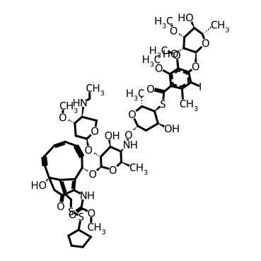 CCN[C@H]1CO[C@@H](O[C@H]2[C@H](O[C@H]3C#CC=CC#C[C@]4(O)CC(=O)C(NC(=O)OC)=C3/C4=C\CSSC3CCCC3)O[C@H](C)[C@@H](NO[C@H]3C[C@H](O)[C@H](SC(=O)c4c(C)c(I)c(O[C@@H]5O[C@@H](C)[C@H](O)[C@@H](OC)[C@H]5O)c(OC)c4OC)[C@@H](C)O3)[C@@H]2O)C[C@@H]1OC